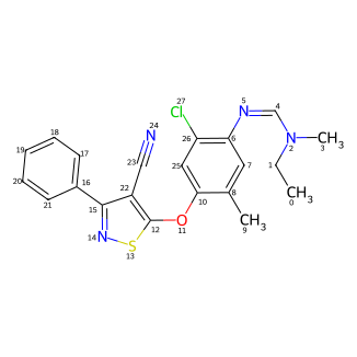 CCN(C)/C=N\c1cc(C)c(Oc2snc(-c3ccccc3)c2C#N)cc1Cl